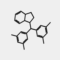 Cc1cc(C)cc(C(c2cc(C)cc(C)c2)C2CCC3C=CC=CC32)c1